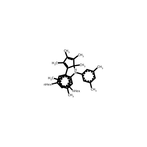 CCCCCCc1cc(CCCCCC)cc(C2=C(C)C(C)=C(C)C2(C)[SiH](c2cc(C)cc(C)c2)c2cc(C)cc(C)c2)c1